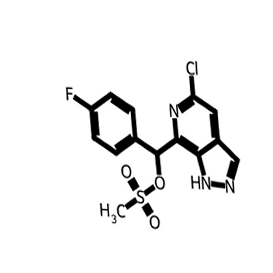 CS(=O)(=O)OC(c1ccc(F)cc1)c1nc(Cl)cc2cn[nH]c12